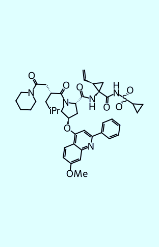 C=C[C@H]1C[C@]1(NC(=O)[C@@H]1C[C@@H](Oc2cc(-c3ccccc3)nc3cc(OC)ccc23)CN1C(=O)[C@@H](CC(=O)N1CCCCC1)CC(C)C)C(=O)NS(=O)(=O)C1CC1